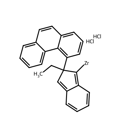 CCC1(c2cccc3ccc4ccccc4c23)C=c2ccccc2=[C]1[Zr].Cl.Cl